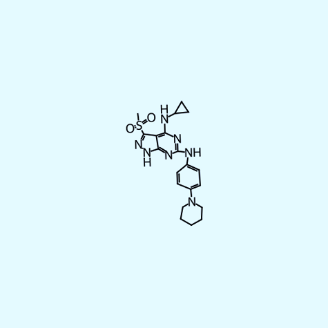 CS(=O)(=O)c1n[nH]c2nc(Nc3ccc(N4CCCCC4)cc3)nc(NC3CC3)c12